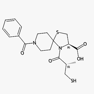 C[C@H](CS)C(=O)N1[C@H](C(=O)O)CSC12CCN(C(=O)c1ccccc1)CC2